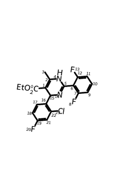 CCOC(=O)C1=C(C)NC(c2c(F)cccc2F)=NC1c1ccc(F)cc1Cl